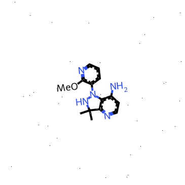 COc1ncccc1N1NC(C)(C)c2nccc(N)c21